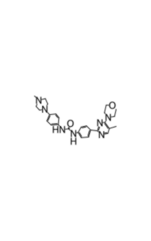 Cc1cnc(-c2ccc(NC(=O)Nc3ccc(N4CCN(C)CC4)cc3)cc2)nc1N1CCOCC1